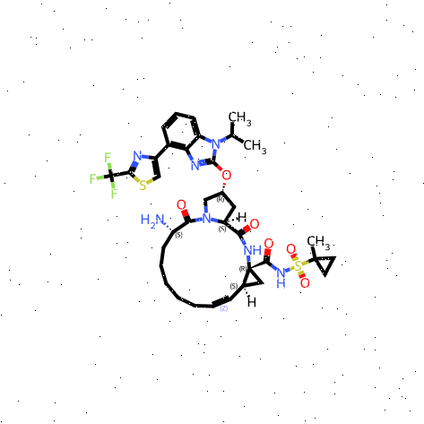 CC(C)n1c(O[C@@H]2C[C@H]3C(=O)N[C@]4(C(=O)NS(=O)(=O)C5(C)CC5)C[C@H]4/C=C\CCCCC[C@H](N)C(=O)N3C2)nc2c(-c3csc(C(F)(F)F)n3)cccc21